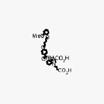 COc1ccccc1OCCCCOc1ccc(C(=O)Nc2cccc3c2OC(C(=O)O)CN3CCCC(=O)O)cc1